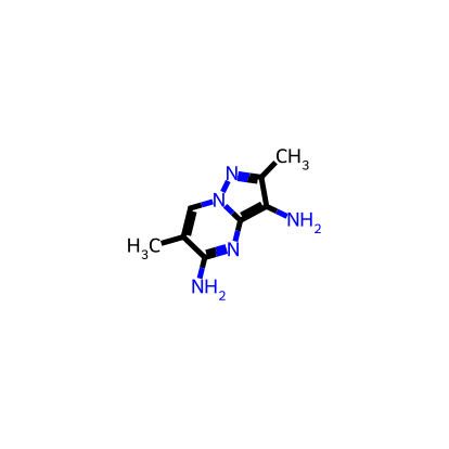 Cc1cn2nc(C)c(N)c2nc1N